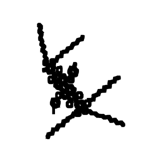 CCCCCCCCCCCCOc1cc(N2C(=O)c3ccc4c5c(Oc6ccc(I)cc6)cc6c7c(ccc(c8c(Oc9ccc(C)cc9)cc(c3c48)C2=O)c75)C(=O)N(c2cc(OCCCCCCCCCCCC)c(OCCCCCCCCCCCC)c(OCCCCCCCCCCCC)c2)C6=O)cc(C)c1OCCCCCCCCCCCC